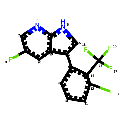 Fc1cnc2[nH]cc(-c3cccc(F)c3C(F)(F)F)c2c1